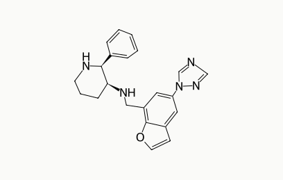 c1ccc([C@@H]2NCCC[C@@H]2NCc2cc(-n3cncn3)cc3ccoc23)cc1